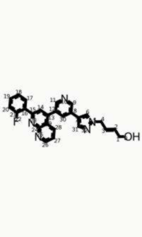 OCC=CCn1cc(-c2cncc(-c3cc(-c4ccccc4F)nc4ncccc34)c2)cn1